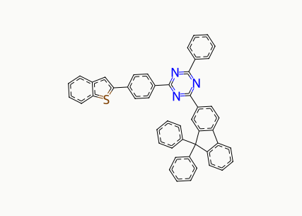 c1ccc(-c2nc(-c3ccc(-c4cc5ccccc5s4)cc3)nc(-c3ccc4c(c3)C(c3ccccc3)(c3ccccc3)c3ccccc3-4)n2)cc1